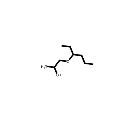 CCCC(CC)OCC(N)O